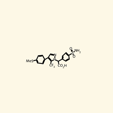 CSc1ccc(-c2cnn(C(C(=O)O)c3ccc(S(N)(=O)=O)cc3)c2C(F)(F)F)cc1